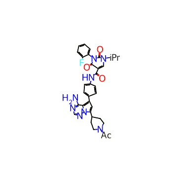 CC(=O)N1CCC(c2cc(-c3ccc(NC(=O)c4cn(C(C)C)c(=O)n(-c5ccccc5F)c4=O)cc3)c3c(N)ncnn23)CC1